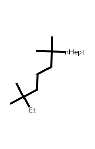 CCCCCCCC(C)(C)C[CH]CC(C)(C)CC